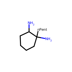 CCCCCC1(N)CCCCC1N